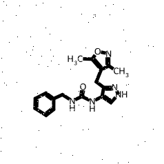 Cc1noc(C)c1Cc1n[nH]cc1NC(=O)NCc1ccccc1